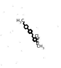 CCCC1CCC(c2ccc(CCc3ccc(OCC)c(F)c3Cl)cc2)CC1